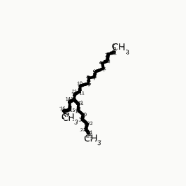 CCCCCCCCCCC[CH]CC(CCCC)CCCCCCCC